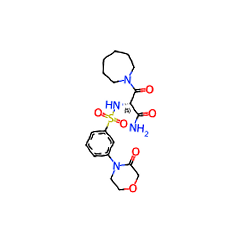 NC(=O)[C@H](NS(=O)(=O)c1cccc(N2CCOCC2=O)c1)C(=O)N1CCCCCC1